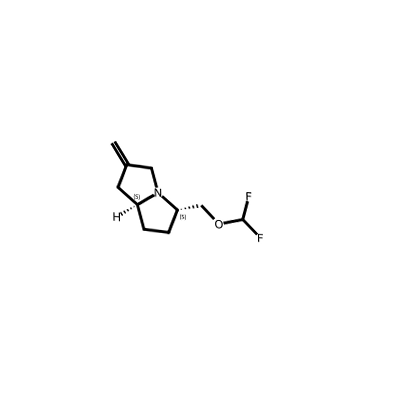 C=C1C[C@@H]2CC[C@@H](COC(F)F)N2C1